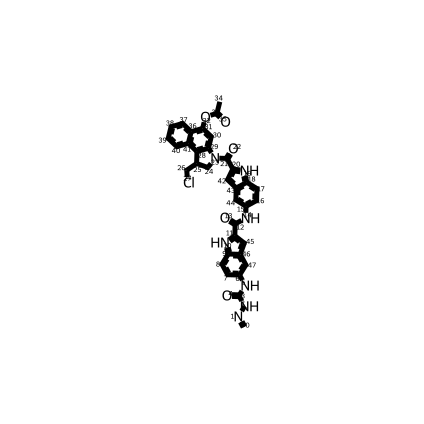 C=NNC(=O)Nc1ccc2[nH]c(C(=O)Nc3ccc4[nH]c(C(=O)N5CC(CCl)c6c5cc(OC(C)=O)c5ccccc65)cc4c3)cc2c1